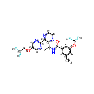 CC(NC(=O)c1cc(OC(F)F)cc(C(F)(F)F)c1)c1nccnc1-c1ncc(OCC(F)F)cn1